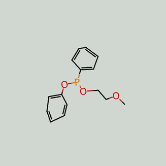 COCCOP(Oc1ccccc1)c1ccccc1